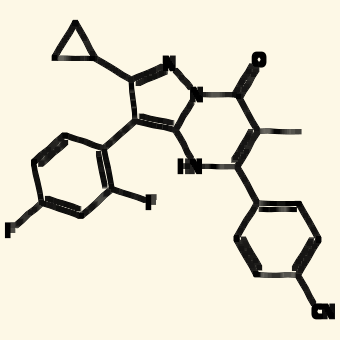 Cc1c(-c2ccc(C#N)cc2)[nH]c2c(-c3ccc(F)cc3F)c(C3CC3)nn2c1=O